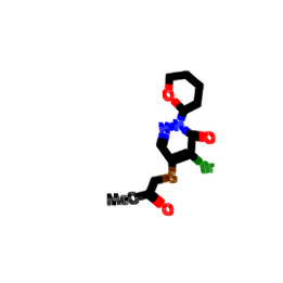 COC(=O)CSc1cnn(C2CCCCO2)c(=O)c1Br